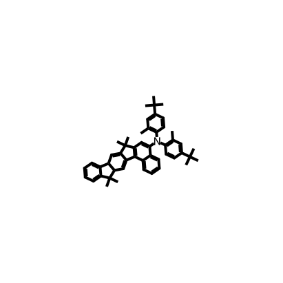 Cc1cc(C(C)(C)C)ccc1N(c1ccc(C(C)(C)C)cc1C)c1cc2c(c3ccccc13)C1=CC3C(C=C1C2(C)C)c1ccccc1C3(C)C